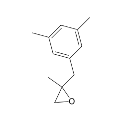 Cc1cc(C)cc(CC2(C)CO2)c1